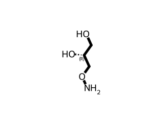 NOC[C@H](O)CO